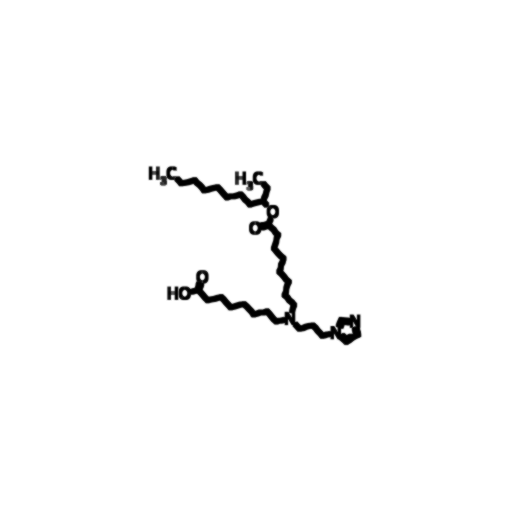 CCCCCCCCC(CC)OC(=O)CCCCCCCN(CCCCCCCC(=O)O)CCCn1ccnc1